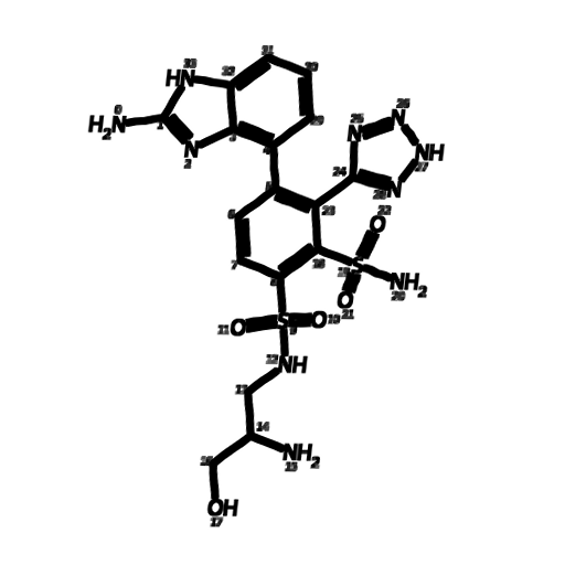 Nc1nc2c(-c3ccc(S(=O)(=O)NCC(N)CO)c(S(N)(=O)=O)c3-c3nn[nH]n3)cccc2[nH]1